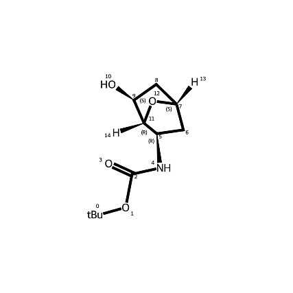 CC(C)(C)OC(=O)N[C@@H]1C[C@H]2C[C@H](O)[C@@H]1O2